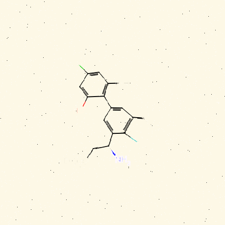 CCOC(=O)C[C@H](N)c1cc(-c2c(C)cc(Cl)cc2O)cc(C)c1F